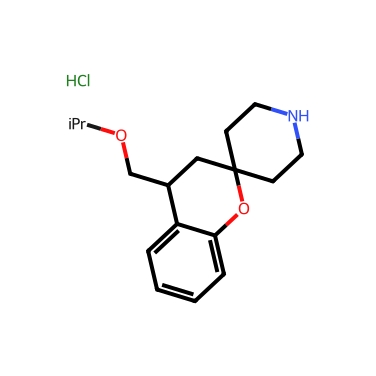 CC(C)OCC1CC2(CCNCC2)Oc2ccccc21.Cl